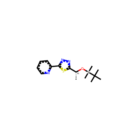 C[C@@H](O[Si](C)(C)C(C)(C)C)c1nnc(-c2ccccn2)s1